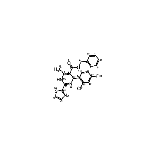 CC1=C(C(=O)OCc2ccccc2)C(c2ccc(F)cc2Cl)N=C(c2nccs2)N1